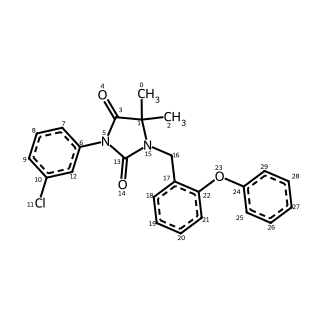 CC1(C)C(=O)N(c2cccc(Cl)c2)C(=O)N1Cc1ccccc1Oc1ccccc1